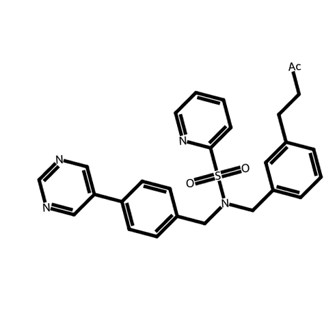 CC(=O)CCc1cccc(CN(Cc2ccc(-c3cncnc3)cc2)S(=O)(=O)c2ccccn2)c1